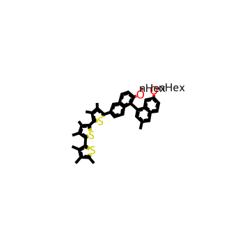 CCCCCCOc1ccc2cc(C)cc(-c3c(OCCCCCC)ccc4cc(-c5sc(-c6sc(-c7sc(C)c(C)c7C)c(C)c6C)c(C)c5C)ccc34)c2c1